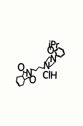 CC(C)Oc1ccccc1N1CCN(CCCCN2C(=O)C3CC=CCC3C2=O)CC1.Cl